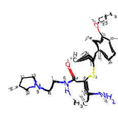 C=C(S/C(C(=O)NCCN1CCCC1)=C(/C)N)c1cccc(OC)c1